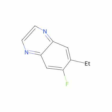 CCc1cc2nccnc2cc1F